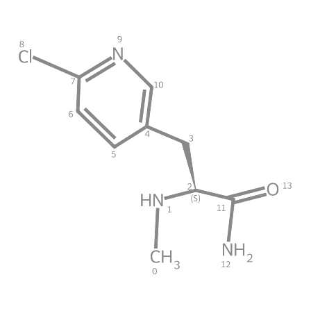 CN[C@@H](Cc1ccc(Cl)nc1)C(N)=O